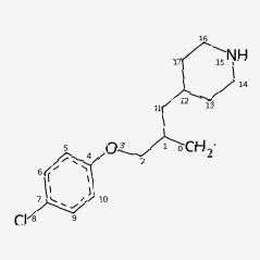 [CH2]C(COc1ccc(Cl)cc1)CC1CCNCC1